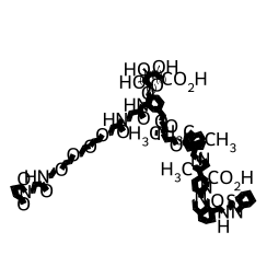 Cc1c(-c2ccc(N3CCc4cccc(C(=O)Nc5nc6ccccc6s5)c4C3)nc2C(=O)O)cnn1CC12CC3(C)CC(C)(C1)CC(OCCN(C)C(=O)OCc1ccc(O[C@@H]4O[C@H](C(=O)O)[C@@H](O)[C@H](O)[C@H]4O)c(NC(=O)CCNC(=O)CCOCCOCCOCCOCCNC(=O)CCN4C(=O)C=CC4=O)c1)(C3)C2